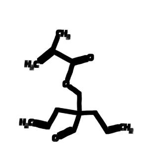 C=CCC(C=O)(CC=C)COC(=O)C(=C)C